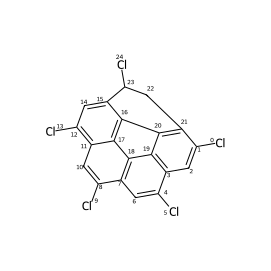 Clc1cc2c(Cl)cc3c(Cl)cc4c(Cl)cc5c6c4c3c2c-6c1CC5Cl